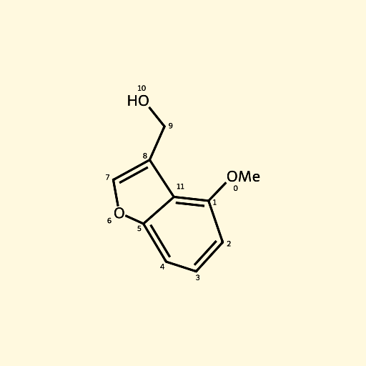 COc1cccc2occ(CO)c12